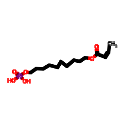 C/C=C\C(=O)OCCCCCCCCCCOP(=O)(O)O